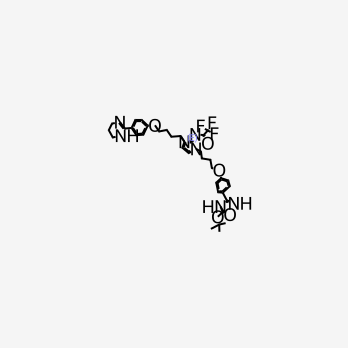 CC(C)(C)OC(=O)NC(=N)c1ccc(OCCCCn2ccn(CCCCOc3ccc(C4=NCCCN4)cc3)/c2=N/C(=O)C(F)(F)F)cc1